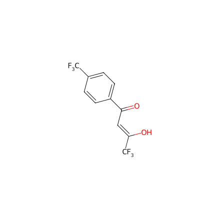 O=C(C=C(O)C(F)(F)F)c1ccc(C(F)(F)F)cc1